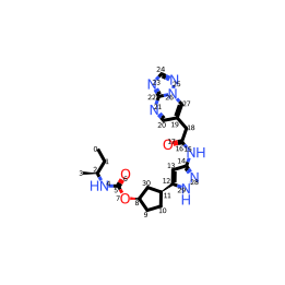 CC[C@H](C)NC(=O)O[C@@H]1CC[C@H](c2cc(NC(=O)Cc3cnc4ncnn4c3)n[nH]2)C1